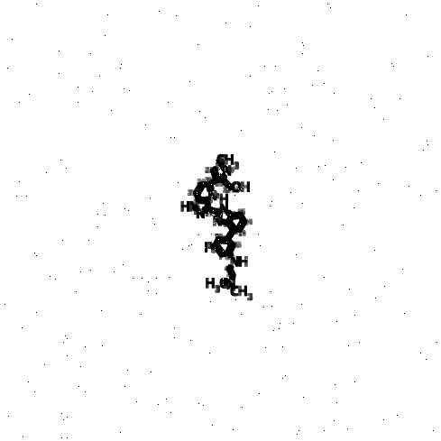 CN(C)CCNc1cc(F)cc(-c2cccc3[nH]c(-c4n[nH]c5ccc(-c6cn(C)nc6CO)nc45)nc23)c1